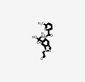 Cc1cccc(C(=O)Nc2cc3cnn(CC=O)c3cc2C(C)(C)O)n1